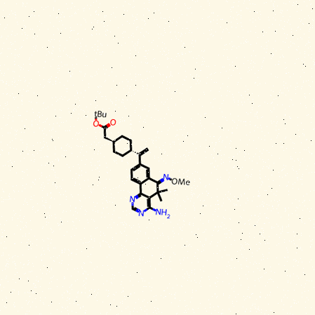 C=C(c1ccc2c(c1)C(=NOC)C(C)(C)c1c(N)ncnc1-2)[C@H]1CC[C@H](CC(=O)OC(C)(C)C)CC1